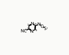 N#Cc1cnc(N=C=S)cn1